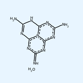 N=c1nc2n3c(nc(N)nc3n1)NC(N)=N2.O